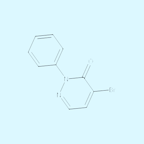 O=c1c(Br)ccnn1-c1ccccc1